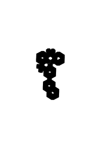 CC1(C)C2=C(C=CCC2)N2c3ccc(-c4ccc5ccccc5c4)cc3C(C)(C)c3cccc1c32